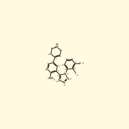 Nc1ncc(C2=CCNCC2)cc1-c1nnnn1-c1cccc(F)c1F